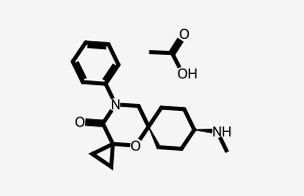 CC(=O)O.CN[C@H]1CC[C@]2(CC1)CN(c1ccccc1)C(=O)C1(CC1)O2